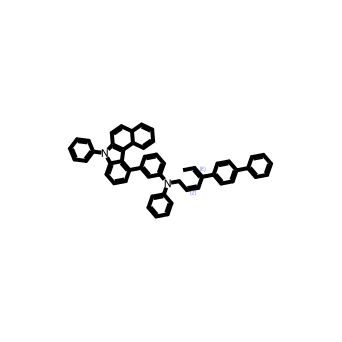 C/C=C(\C=C/CN(c1ccccc1)c1cccc(-c2cccc3c2c2c(n3-c3ccccc3)C=CC3C=CC=CC23)c1)c1ccc(-c2ccccc2)cc1